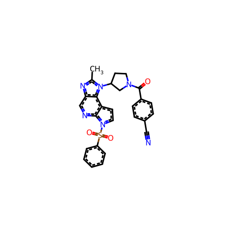 Cc1nc2cnc3c(ccn3S(=O)(=O)c3ccccc3)c2n1C1CCN(C(=O)c2ccc(C#N)cc2)C1